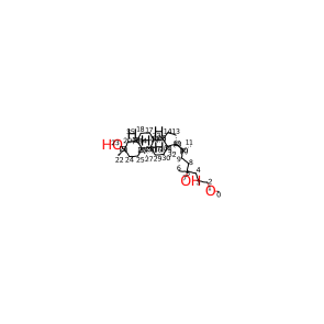 COCCCC(C)(O)CC[C@@H](C)[C@H]1CC[C@H]2[C@@H]3CC[C@H]4C[C@@](C)(O)CC[C@]4(C)[C@H]3CC[C@]12C